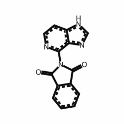 O=C1c2ccccc2C(=O)N1c1nccc2[nH]cnc12